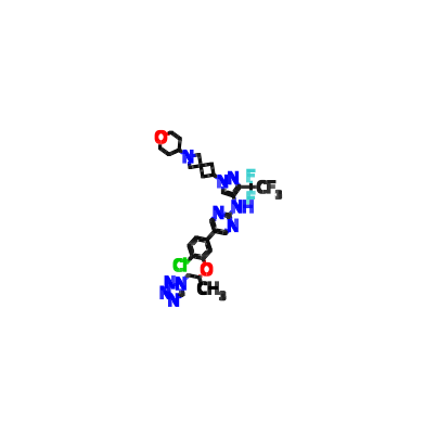 CC(Cn1cnnn1)Oc1cc(-c2cnc(Nc3cn(C4CC5(C4)CN(C4CCOCC4)C5)nc3C(F)(F)C(F)(F)F)nc2)ccc1Cl